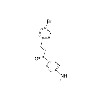 CNc1ccc(C(=O)C=Cc2ccc(Br)cc2)cc1